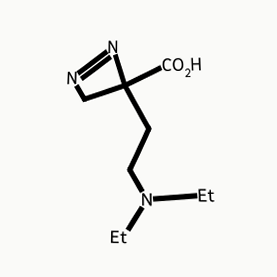 CCN(CC)CCC1(C(=O)O)CN=N1